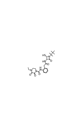 CCN1CCN(C(=O)Nc2ccccc2CC(=O)N[C@@H]2C(=O)N([Si](C)(C)C(C)(C)C)[C@@H]2S)C(=O)C1=O